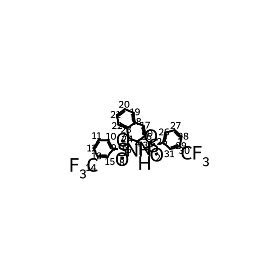 O=S(=O)(NC1(NS(=O)(=O)c2cccc(C(F)(F)F)c2)C=Cc2ccccc2C1)c1cccc(C(F)(F)F)c1